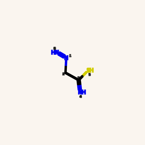 N=NCC(=N)S